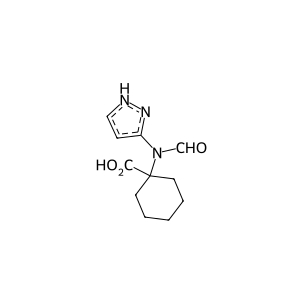 O=CN(c1cc[nH]n1)C1(C(=O)O)CCCCC1